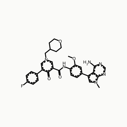 COc1cc(-c2cn(C)c3ncnc(N)c23)ccc1NC(=O)c1cn(CC2CCOCC2)cc(-c2ccc(F)cc2)c1=O